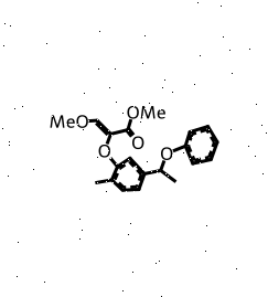 CO/C=C(\Oc1cc(C(C)Oc2ccccc2)ccc1C)C(=O)OC